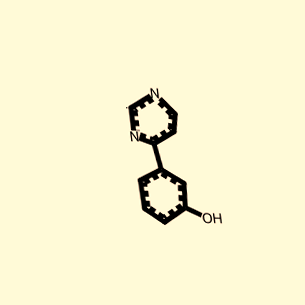 Oc1cccc(-c2ccn[c]n2)c1